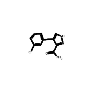 NC(=O)c1n[nH]cc1-c1cccc(Cl)c1